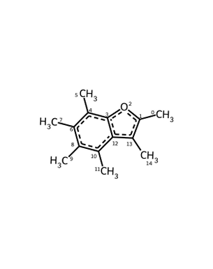 Cc1oc2c(C)c(C)c(C)c(C)c2c1C